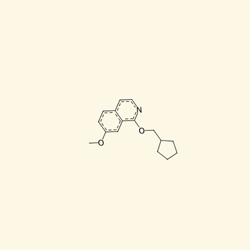 COc1ccc2ccnc(OCC3CCCC3)c2c1